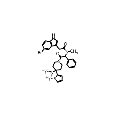 CN(C(=O)Cc1c[nH]c2ccc(Br)cc12)C(C(=O)N1CCC(c2cccs2)(N(C)C)CC1)c1ccccc1